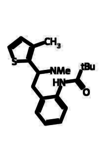 CNC(Cc1ccccc1NC(=O)C(C)(C)C)c1sccc1C